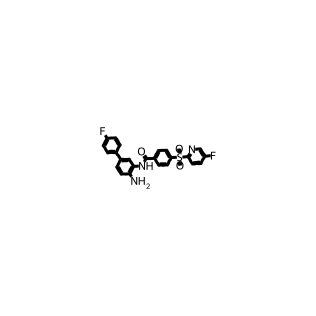 Nc1ccc(-c2ccc(F)cc2)cc1NC(=O)c1ccc(S(=O)(=O)c2ccc(F)cn2)cc1